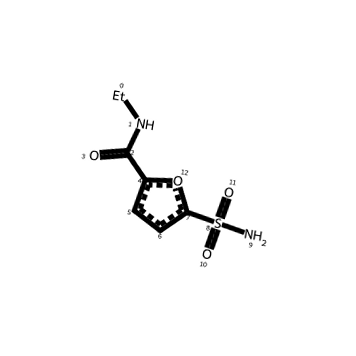 CCNC(=O)c1ccc(S(N)(=O)=O)o1